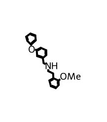 COc1ccccc1CCNCc1cccc(Oc2ccccc2)c1